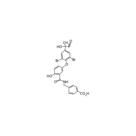 CC(O)(P=O)c1cc(Br)c(Oc2ccc(O)c(C(=O)NCc3ccc(C(=O)O)cc3)c2)c(Br)c1